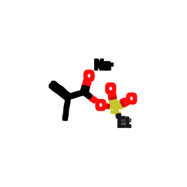 C=C(C)C(=O)OS(=O)(=O)CC.[Na]